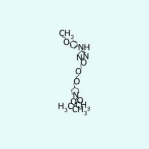 C=CCOc1ccc(Nc2cnc(OCCOCCOCC3CCN(C(=O)OC(C)(C)C)CC3)nc2)cc1